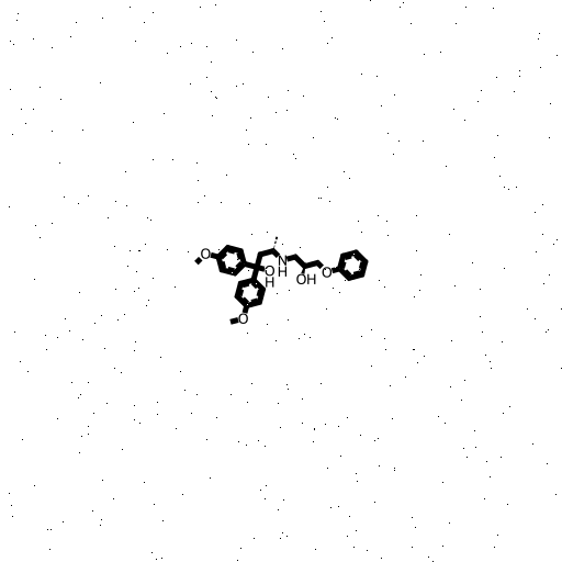 COc1ccc(C(O)(C[C@H](C)NC[C@H](O)COc2ccccc2)c2ccc(OC)cc2)cc1